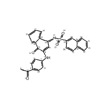 CC(=O)c1ccc(NC2=C/C(=N\S(=O)(=O)c3ccc4ccccc4c3)c3ccccc3C2=O)cc1